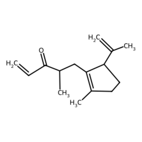 C=CC(=O)C(C)CC1=C(C)CCC1C(=C)C